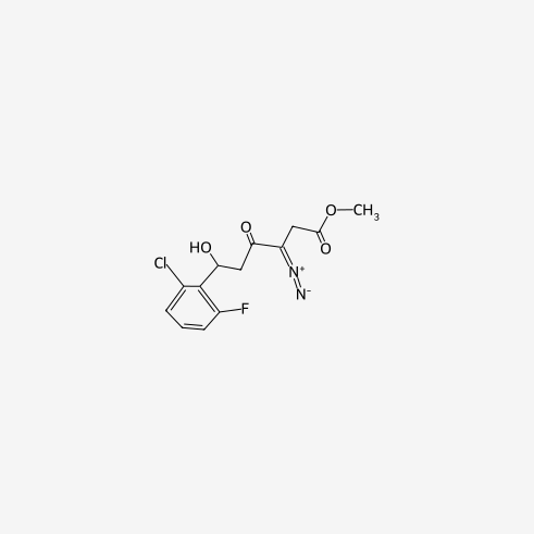 COC(=O)CC(=[N+]=[N-])C(=O)CC(O)c1c(F)cccc1Cl